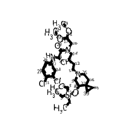 CC[Si](CC)(CC)OC1CN(CCCCN(CC(OC)OC)C(=O)C(C)Nc2ccc(Cl)c(Cl)c2)CCC12CC2